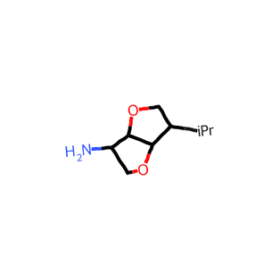 CC(C)C1COC2C(N)COC12